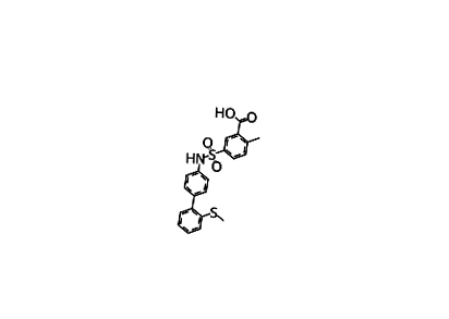 CSc1ccccc1-c1ccc(NS(=O)(=O)c2ccc(C)c(C(=O)O)c2)cc1